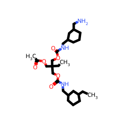 CCC1CCCC(CNC(=O)OCC(CC)(COC(C)=O)COC(=O)NCC2CCCC(CN)C2)C1